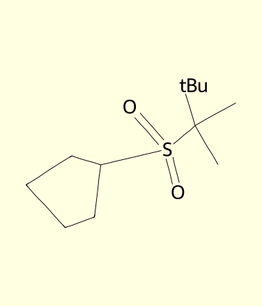 CC(C)(C)C(C)(C)S(=O)(=O)C1CCCC1